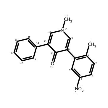 Cc1ccc([N+](=O)[O-])cc1-c1cn(C)cc(-c2ccccc2)c1=O